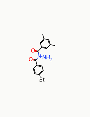 CCc1ccc(C(=O)N(N)C(=O)c2cc(C)cc(C)c2)cc1